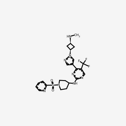 CN[C@H]1C[C@@H](n2cc(-c3nc(NC4CCN(S(=O)(=O)c5ccccn5)CC4)ncc3C(F)(F)F)cn2)C1